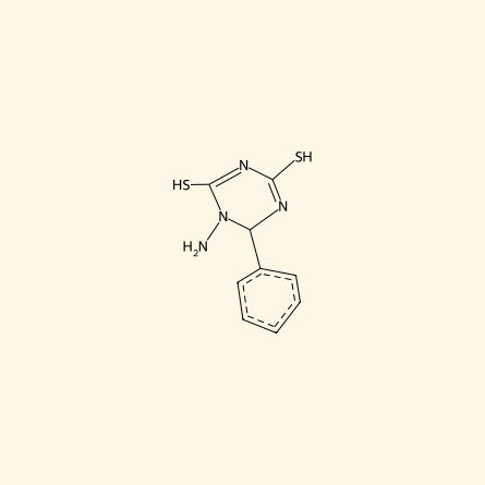 NN1C(S)=NC(S)=NC1c1ccccc1